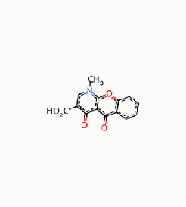 Cn1cc(C(=O)O)c(=O)c2c(=O)c3ccccc3oc21